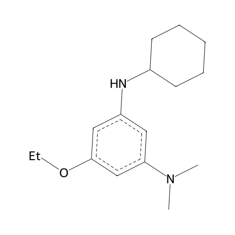 CCOc1cc(NC2CCCCC2)cc(N(C)C)c1